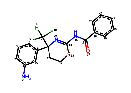 Nc1cccc(C2(C(F)(F)F)CCSC(NC(=O)c3ccccc3)=N2)c1